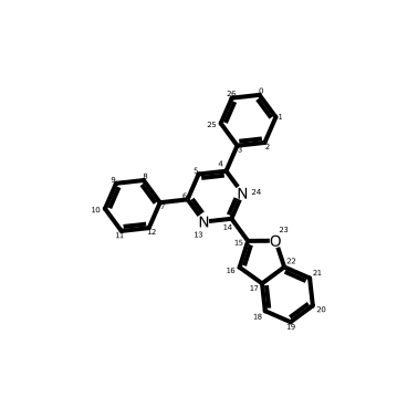 c1ccc(-c2cc(-c3ccccc3)nc(-c3cc4ccccc4o3)n2)cc1